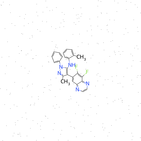 Cc1ccccc1Nc1c(-c2cc3nccnc3c(F)c2F)c(C)nn1-c1ccccc1